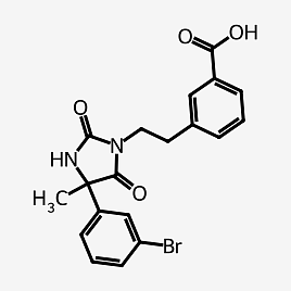 CC1(c2cccc(Br)c2)NC(=O)N(CCc2cccc(C(=O)O)c2)C1=O